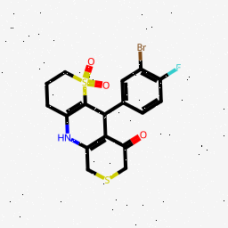 O=C1CSCC2=C1C(c1ccc(F)c(Br)c1)C1=C(CCCS1(=O)=O)N2